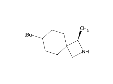 C[C@H]1NCC12CCC(C(C)(C)C)CC2